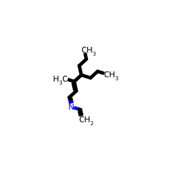 C=C/N=C\C=C(/C)C(CCC)CCC